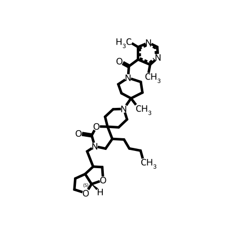 CCCCC1CN(CC2CO[C@@H]3OCCC23)C(=O)OC12CCN(C1(C)CCN(C(=O)c3c(C)ncnc3C)CC1)CC2